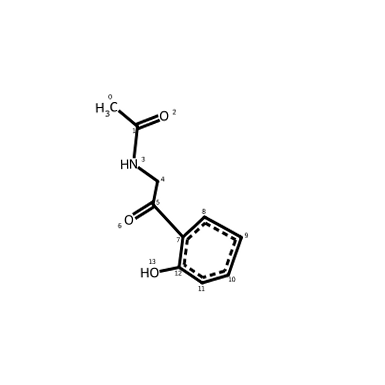 CC(=O)NCC(=O)c1ccccc1O